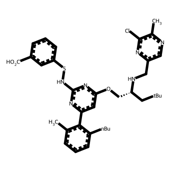 CCCCc1cccc(C)c1-c1cc(OC[C@@H](CC(C)(C)C)NCc2cnc(C)c(Cl)n2)nc(NSc2cccc(C(=O)O)c2)n1